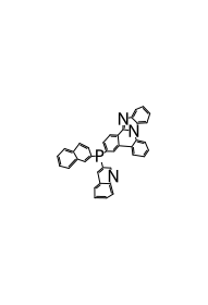 c1ccc2cc(P(c3cnc4ccccc4c3)c3ccc4c(c3)c3ccccc3n3c5ccccc5nc43)ccc2c1